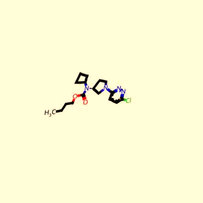 CCCCOC(=O)N(C1CCC1)[C@@H]1CCN(c2ccc(Cl)nn2)C1